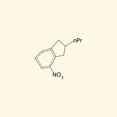 CCCC1Cc2cccc([N+](=O)[O-])c2C1